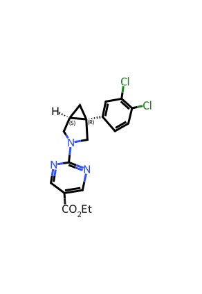 CCOC(=O)c1cnc(N2C[C@H]3C[C@@]3(c3ccc(Cl)c(Cl)c3)C2)nc1